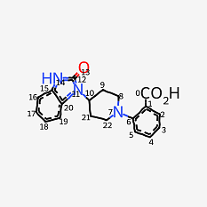 O=C(O)c1ccccc1N1CCC(n2c(=O)[nH]c3ccccc32)CC1